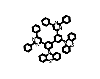 c1ccc(-c2cc(-c3cc(-c4cc(-c5cc(-c6ccccc6)nc(-c6ccccc6)n5)cc(N5c6ccccc6Sc6ccccc65)c4)cc(N4c5ccccc5Sc5ccccc54)c3)nc(-c3ccccc3)n2)cc1